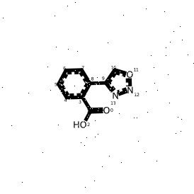 O=C(O)c1ccccc1-c1conn1